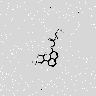 CCOC(=O)COc1ccc2cccc(C(CC)C(N)=O)c2c1